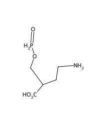 NCCC(CO[PH2]=O)C(=O)O